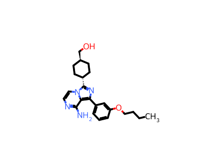 CCCCOc1cccc(-c2nc([C@H]3CC[C@H](CO)CC3)n3ccnc(N)c23)c1